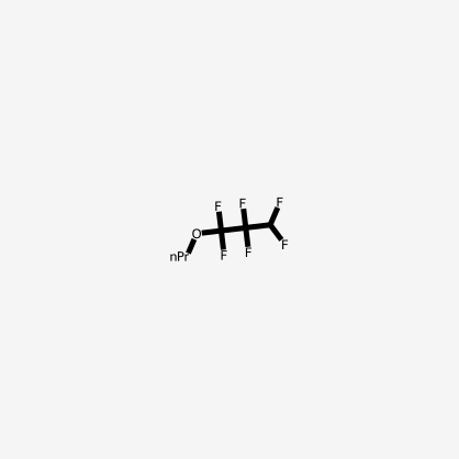 CCCOC(F)(F)C(F)(F)[C](F)F